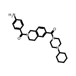 Nc1ccc(C(=O)N2CCc3cc(C(=O)N4CCN(C5CCCCC5)CC4)ccc3C2)cc1